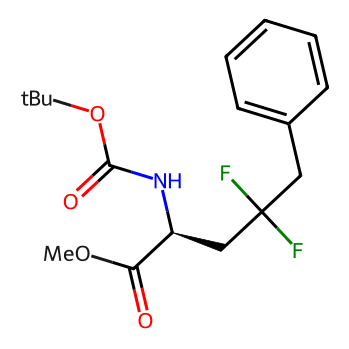 COC(=O)[C@H](CC(F)(F)Cc1ccccc1)NC(=O)OC(C)(C)C